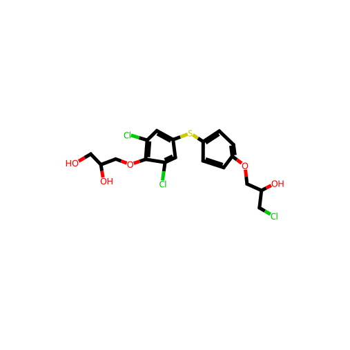 OCC(O)COc1c(Cl)cc(Sc2ccc(OCC(O)CCl)cc2)cc1Cl